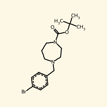 CC(C)(C)OC(=O)N1CCCN(Cc2ccc(Br)cc2)CC1